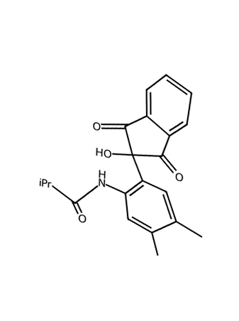 Cc1cc(NC(=O)C(C)C)c(C2(O)C(=O)c3ccccc3C2=O)cc1C